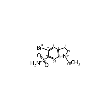 CCN1CCc2cc(Br)c(S(N)(=O)=O)cc21